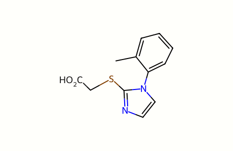 Cc1ccccc1-n1ccnc1SCC(=O)O